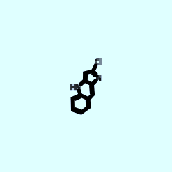 Clc1cc2[nH]c3ccccc3cc-2n1